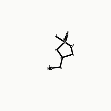 CP1(=O)CC(CO)CO1